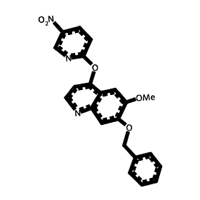 COc1cc2c(Oc3ccc([N+](=O)[O-])cn3)ccnc2cc1OCc1ccccc1